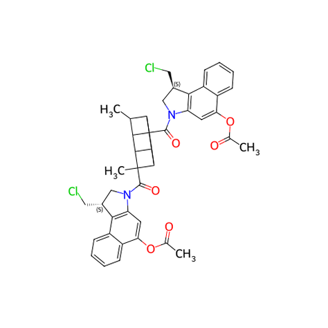 CC(=O)Oc1cc2c(c3ccccc13)[C@H](CCl)CN2C(=O)C1(C)C2C3C(C)C4C1C2C34C(=O)N1C[C@@H](CCl)c2c1cc(OC(C)=O)c1ccccc21